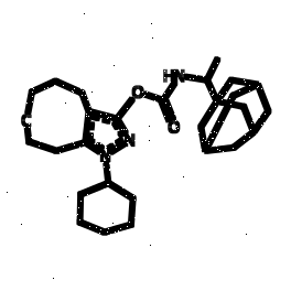 CC(NC(=O)Oc1nn(C2CCCCC2)c2c1CCCCCC2)C12CC3CC(CC(C3)C1)C2